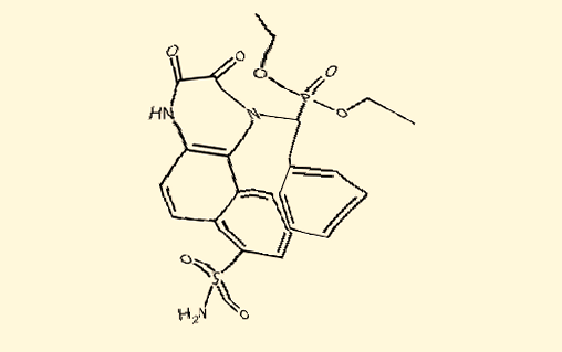 CCOP(=O)(OCC)C(c1ccccc1)n1c(=O)c(=O)[nH]c2ccc3c(S(N)(=O)=O)cccc3c21